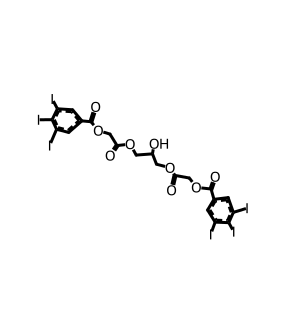 O=C(COC(=O)c1cc(I)c(I)c(I)c1)OCC(O)COC(=O)COC(=O)c1cc(I)c(I)c(I)c1